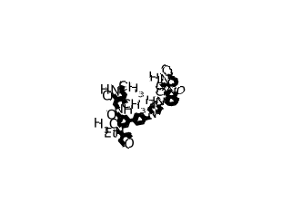 CCN(c1cc(-c2ccc(CN3CCN(Nc4cccc5c4C(=O)N(C4CCC(=O)NC4=O)C5=O)CC3)cc2)cc(C(=O)NCc2c(C)cc(C)[nH]c2=O)c1C)C1CCOCC1